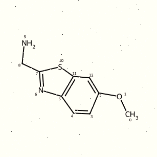 COc1ccc2nc(CN)sc2c1